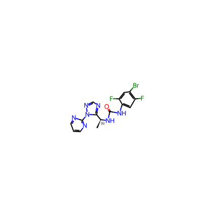 C[C@H](NC(=O)Nc1cc(F)c(Br)cc1F)c1ncnn1-c1ncccn1